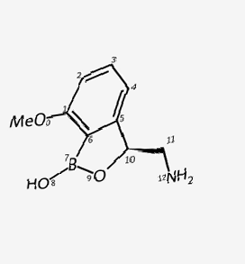 COc1cccc2c1B(O)O[C@@H]2CN